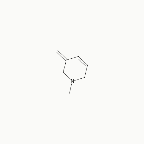 C=C1C=CCN(C)C1